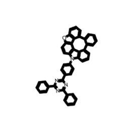 c1ccc(-c2nc(-c3ccccc3)nc(-c3ccc(-n4c5cccc6c7ccccc7c7cccc8oc9ccc4c(c9c87)c65)cc3)n2)cc1